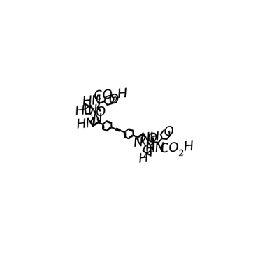 O=C(O)N[C@@H](C(=O)N1C2C[C@@H]2C[C@H]1c1nc(-c2ccc(C#Cc3ccc(-c4c[nH]c([C@@H]5C[C@H]6CC6N5C(=O)[C@H](NC(=O)O)C5CCOCC5)n4)cc3)cc2)c[nH]1)C1CCOCC1